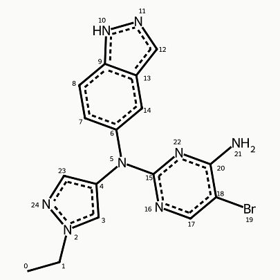 CCn1cc(N(c2ccc3[nH]ncc3c2)c2ncc(Br)c(N)n2)cn1